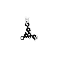 Cc1cc(C(=O)C[C@H](c2ccc(C3CCNCC3)cc2)c2ccc(Cl)cc2C)ccn1